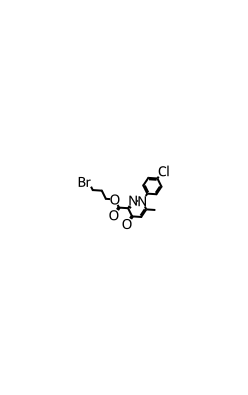 Cc1cc(=O)c(C(=O)OCCCBr)nn1-c1ccc(Cl)cc1